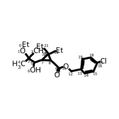 CCOC(C)(C)C(O)C1C(C(=O)OCc2ccc(Cl)cc2)C1(CC)CC